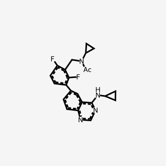 CC(=O)N(Cc1c(F)ccc(-c2ccc3ncnc(NC4CC4)c3c2)c1F)C1CC1